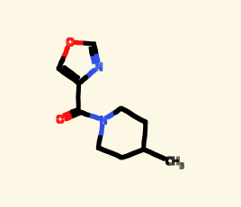 CC1CCN(C(=O)c2cocn2)CC1